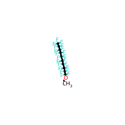 CCOC(F)(F)C(F)(F)C(F)(F)C(F)(F)C(F)(F)C(F)(F)C(F)(F)C(F)(F)C(F)(F)C(F)(F)F